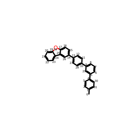 Cc1ccc(-c2cccc(-c3ccc(-c4ccc5oc6ccccc6c5c4)cc3)c2)cc1